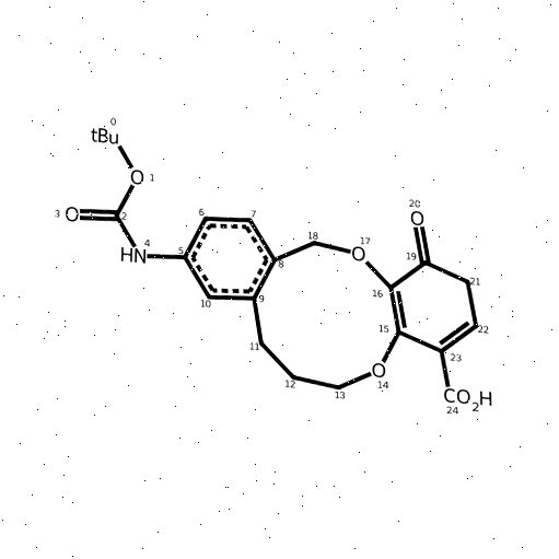 CC(C)(C)OC(=O)Nc1ccc2c(c1)CCCOC1=C(OC2)C(=O)CC=C1C(=O)O